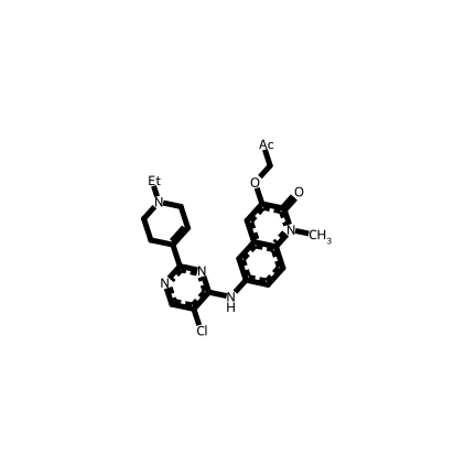 CCN1CC=C(c2ncc(Cl)c(Nc3ccc4c(c3)cc(OCC(C)=O)c(=O)n4C)n2)CC1